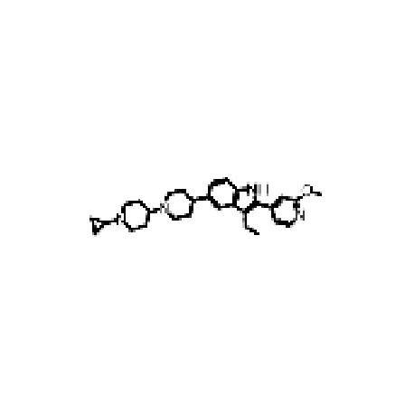 CCc1c(-c2ccnc(OC)c2)[nH]c2ccc(C3CCN(C4CCN(C5CC5)CC4)CC3)cc12